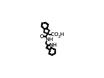 O=C(O)CC1(C(=O)NCc2cc3ccccc3[nH]2)Cc2ccccc2C1